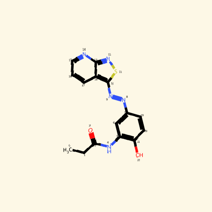 CCC(=O)Nc1cc(/N=N/c2snc3ncccc23)ccc1O